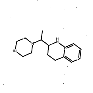 CC(C1CCc2ccccc2N1)N1CCNCC1